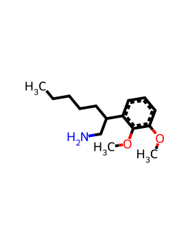 CCCCCC(CN)c1cccc(OC)c1OC